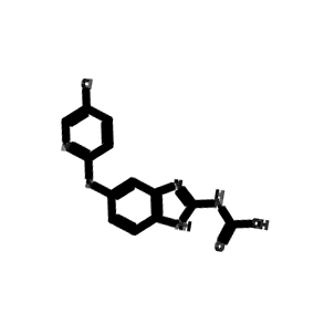 O=C(O)Nc1nc2cc(Sc3ccc(Cl)cn3)ccc2[nH]1